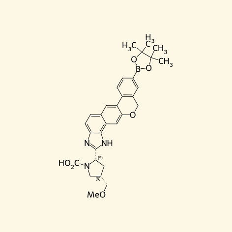 COC[C@H]1C[C@@H](c2nc3ccc4cc5c(cc4c3[nH]2)OCc2cc(B3OC(C)(C)C(C)(C)O3)ccc2-5)N(C(=O)O)C1